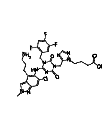 Cn1cc2c(CCCN)c(Nc3nc(=O)n(Cc4ncnn4CCCC(=O)O)c(=O)n3Cc3cc(F)c(F)cc3F)c(Cl)cc2n1